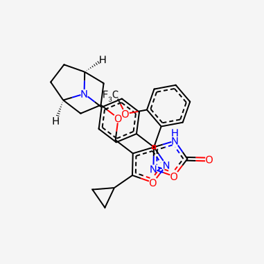 O=c1[nH]c(-c2ccc(N3[C@@H]4CC[C@H]3CC(OCc3c(-c5ccccc5OC(F)(F)F)noc3C3CC3)C4)cc2)no1